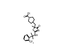 CCC(=O)N1CCC(CC2(C)SC(NC(C)(C)c3ccccc3C(F)(F)F)=NC2=O)CC1